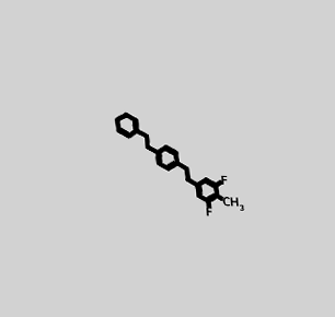 Cc1c(F)cc(CCc2ccc(CCC3=CCCC=C3)cc2)cc1F